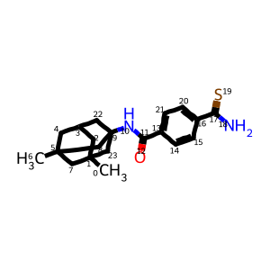 CC12CC3CC(C)(C1)CC(NC(=O)c1ccc(C(N)=S)cc1)(C3)C2